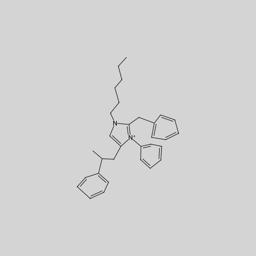 CCCCCCn1cc(CC(C)c2ccccc2)[n+](-c2ccccc2)c1Cc1ccccc1